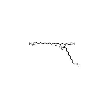 CCCCCCCCCCOCC(O)CN(CCO)C(=O)CCCCCCCCC